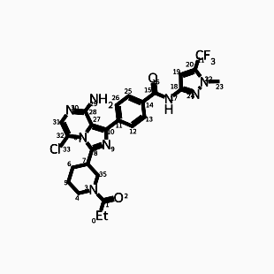 CCC(=O)N1CCCC(c2nc(-c3ccc(C(=O)Nc4cc(C(F)(F)F)n(C)n4)cc3)c3c(N)ncc(Cl)n23)C1